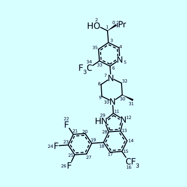 CC(C)[C@H](O)c1cnc(N2CCN(c3nc4cc(C(F)(F)F)cc(-c5cc(F)c(F)c(F)c5)c4[nH]3)[C@H](C)C2)c(C(F)(F)F)c1